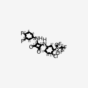 O=c1c(Nc2ccc(F)c(F)c2)c(Nc2ccc(Cl)c(S(=O)(=O)C(F)(F)F)c2)c1=O